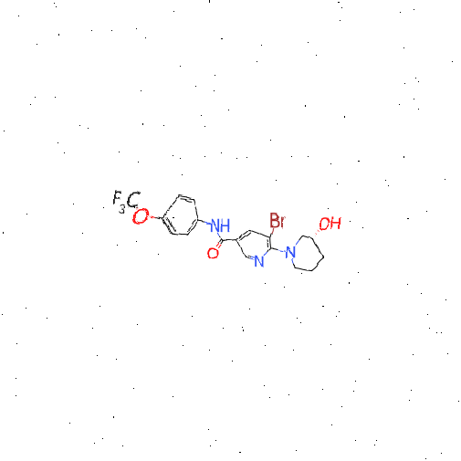 O=C(Nc1ccc(OC(F)(F)F)cc1)c1cnc(N2CCC[C@@H](O)C2)c(Br)c1